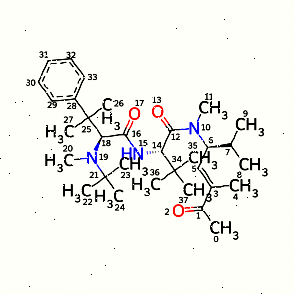 CC(=O)/C(C)=C/[C@H](C(C)C)N(C)C(=O)[C@@H](NC(=O)[C@@H](N(C)C(C)(C)C)C(C)(C)c1ccccc1)C(C)(C)C